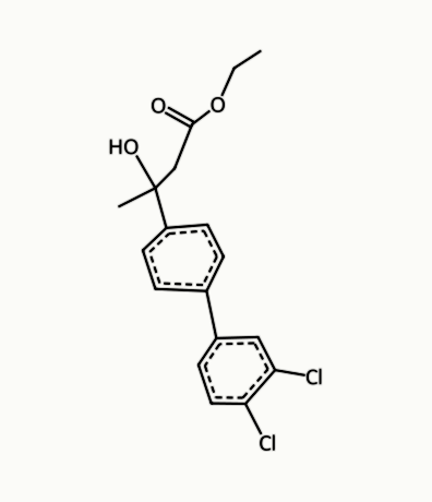 CCOC(=O)CC(C)(O)c1ccc(-c2ccc(Cl)c(Cl)c2)cc1